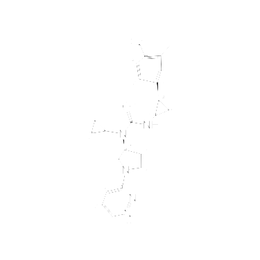 Cc1cc([C@H]2C[C@@H]2NC(=O)N(C2CC2)[C@H]2CCN(c3cccnn3)C2)ccc1Cl